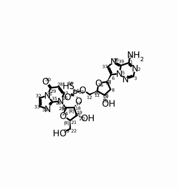 Nc1ncnn2c([C@H]3C[C@H](O)[C@@H](COP(=O)(S)O[C@@H]4[C@H](O)[C@@H](CO)O[C@H]4n4ccc(=O)n5ccnc45)O3)cnc12